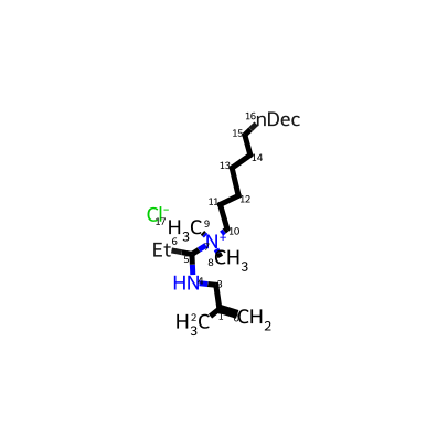 C=C(C)CNC(CC)[N+](C)(C)CCCCCCCCCCCCCCCC.[Cl-]